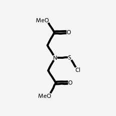 COC(=O)CN(CC(=O)OC)SCl